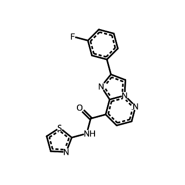 O=C(Nc1nccs1)c1ccnn2cc(-c3cccc(F)c3)nc12